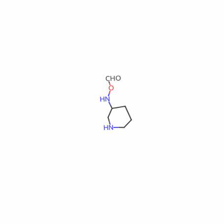 O=CONC1CCCNC1